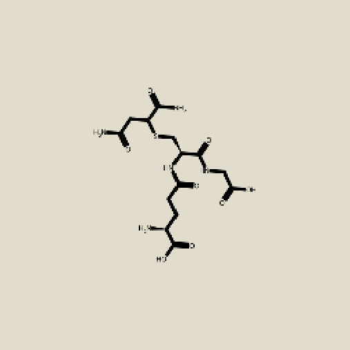 NC(=O)CC(SC[C@H](NC(=O)CC[C@H](N)C(=O)O)C(=O)NCC(=O)O)C(N)=O